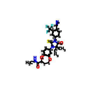 CNC(=O)C1CCOc2cc(N3C(=S)N(c4ccc(C#N)c(C(F)(F)F)c4)C(=O)C3(C)C)ccc2O1